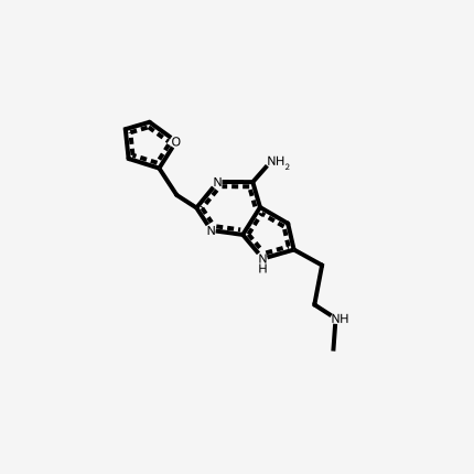 CNCCc1cc2c(N)nc(Cc3ccco3)nc2[nH]1